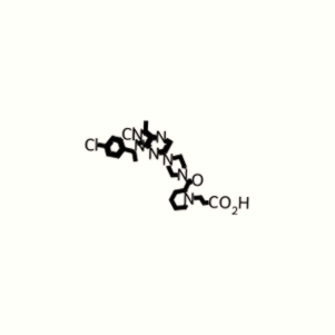 Cc1nn(C(C)c2ccc(Cl)cc2Cl)c2nc(N3CCN(C(=O)C4CCCCN4CCC(=O)O)CC3)cnc12